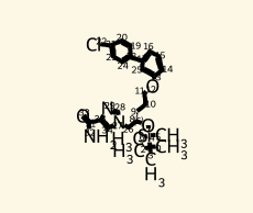 CC(C)(C)[Si](C)(C)O[C@@H](CCCOc1cccc(-c2ccc(Cl)cc2)c1)Cn1cnc(C(N)=O)c1